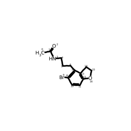 CC(=O)NCCCc1c(Br)ccc2c1CCO2